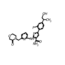 CC(CO)c1ccc(-c2cc(C(N)=O)c(Nc3cccc(CN4CCOCC4=O)n3)s2)c(F)c1